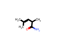 CC(C)=CC(C)C(N)=O